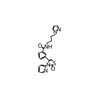 O=C(NCCCCn1cccn1)c1cccc(-c2csc(=O)n2-c2ccccn2)c1